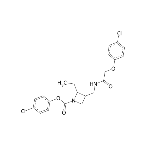 CCC1C(CNC(=O)COc2ccc(Cl)cc2)CN1C(=O)Oc1ccc(Cl)cc1